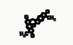 CC1=c2cc3c(cc2CC1=O)=C(CC1=c2cc4c(cc2CC1=O)=C(C)C(=O)C4)C(=O)C3